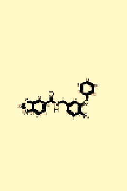 O=C(NCc1ccc(F)c(Oc2ccccc2)c1)c1ccc2ncsc2c1